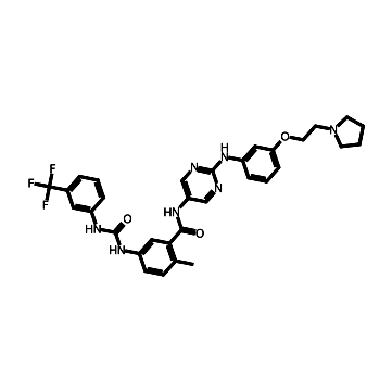 Cc1ccc(NC(=O)Nc2cccc(C(F)(F)F)c2)cc1C(=O)Nc1cnc(Nc2cccc(OCCN3CCCC3)c2)nc1